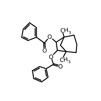 CC12CCCC(C)(C1)C(OC(=O)c1ccccc1)C2OC(=O)c1ccccc1